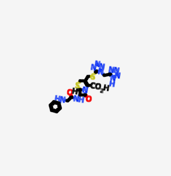 O=C(CNc1ccccc1)NC1C(=O)N2C(C(=O)O)=C(CSc3nnnn3Cc3nnn[nH]3)CS[C@H]12